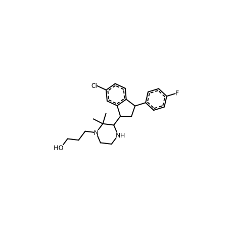 CC1(C)C(C2CC(c3ccc(F)cc3)c3ccc(Cl)cc32)NCCN1CCCO